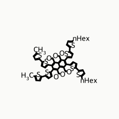 CCCCCCc1ccc(-c2ccc(-c3c(-c4ccc(-c5ccc(CCCCCC)s5)s4)c4c5c(c(-c6ccc(-c7ccc(C)s7)s6)c(-c6ccc(-c7ccc(C)s7)s6)c6c5c3C(=O)OC6=O)C(=O)OC4=O)s2)s1